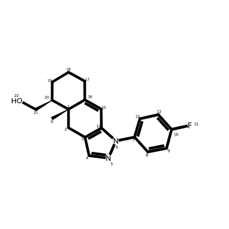 C[C@]12Cc3cnn(-c4ccc(F)cc4)c3C=C1CCC[C@@H]2CO